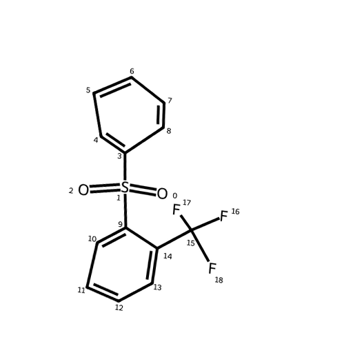 O=S(=O)(c1ccccc1)c1ccccc1C(F)(F)F